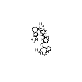 C[C@H](Oc1ccnc(-c2cc([C@@]3(C)CCCc4sc(N)c(C#N)c43)no2)n1)[C@@H]1CCCN1C